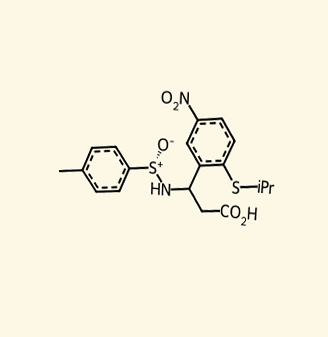 Cc1ccc([S@+]([O-])NC(CC(=O)O)c2cc([N+](=O)[O-])ccc2SC(C)C)cc1